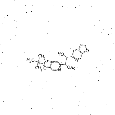 CC(=O)OC(c1cc2cc([Si](C)(C)C)oc2cn1)C(O)c1cc2ccoc2cn1